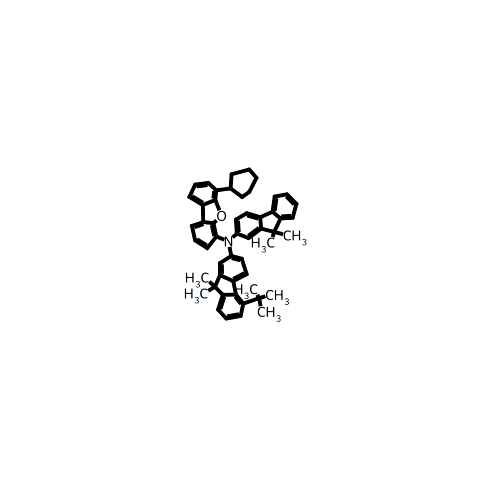 CC(C)(C)c1cccc2c1-c1ccc(N(c3ccc4c(c3)C(C)(C)c3ccccc3-4)c3cccc4c3oc3c(C5CCCCC5)cccc34)cc1C2(C)C